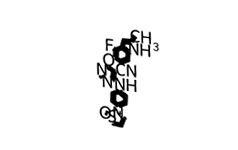 Cc1cc2c(F)c(Oc3ncnc(Nc4ccc(N5CCC[S+]5[O-])cc4)c3C#N)ccc2[nH]1